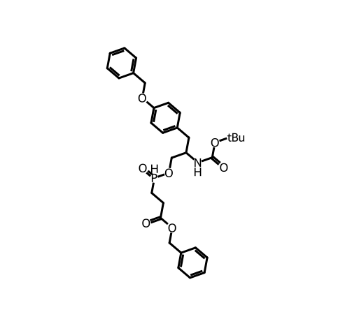 CC(C)(C)OC(=O)NC(CO[PH](=O)CCC(=O)OCc1ccccc1)Cc1ccc(OCc2ccccc2)cc1